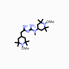 CON1C(C)(C)CC(CC(=N)/N=C(\N)N(C)C2CC(C)(C)N(OC)C(C)(C)C2)CC1(C)C